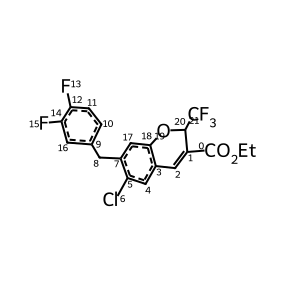 CCOC(=O)C1=Cc2cc(Cl)c(Cc3ccc(F)c(F)c3)cc2OC1C(F)(F)F